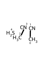 CC#N.CC#N.S